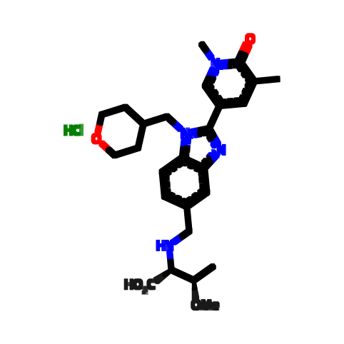 CO[C@H](C)[C@H](NCc1ccc2c(c1)nc(-c1cc(C)c(=O)n(C)c1)n2CC1CCOCC1)C(=O)O.Cl